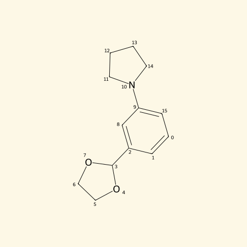 c1cc(C2OCCO2)cc(N2CCCC2)c1